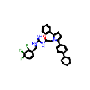 N=C(NCc1ccc(F)c(F)c1F)NC(=O)Cn1c(-c2ccccc2)ccc1-c1ccc(C2CCCCC2)cc1